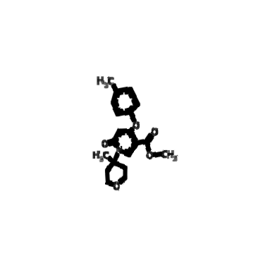 COC(=O)c1cn(C2(C)CCOCC2)c(=O)cc1Oc1ccc(C)cc1